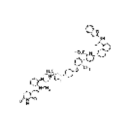 Cc1c(OC2CCC(CCC(C)(C)N3CCN(c4cccc5c(C6CCC(=O)NC6=O)nn(C)c45)CC3)CC2)cccc1-c1ccc(N2CCc3cccc(C(=O)Nc4nc5ccccc5s4)c3C2)nc1C(=O)O